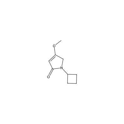 COC1=CC(=O)N(C2CCC2)C1